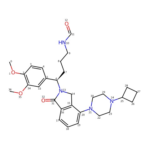 COc1ccc([C@@H](CCCNC=O)N2Cc3c(cccc3N3CCN(C4CCC4)CC3)C2=O)cc1OC